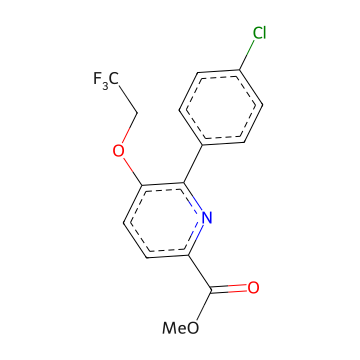 COC(=O)c1ccc(OCC(F)(F)F)c(-c2ccc(Cl)cc2)n1